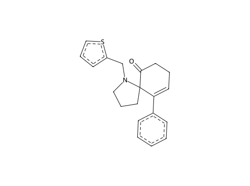 O=C1CCC=C(c2ccccc2)C12CCCN2Cc1cccs1